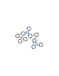 c1ccc(N(c2cccc(-c3ccccc3-c3ccc4c5ccccc5n(-c5ccccc5)c4c3)c2)c2ccc3c(c2)C(c2ccccc2)(c2ccccc2)c2ccccc2-3)cc1